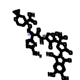 Nc1nc(/C(=N/OC2(C(=O)O)CCOC3(CC3)C2)C(=O)N[C@H]2CON(C3(C(=O)O)CC(N4C(=O)c5cc(O)c(O)cc5C4O)C(=O)O3)C2=O)cs1